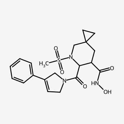 CS(=O)(=O)N1CC2(CC2)CC(C(=O)NO)C1C(=O)N1CC=C(c2ccccc2)C1